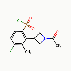 Cc1c(F)ccc(S(=O)(=O)Cl)c1C1CN(C(=O)C(F)(F)F)C1